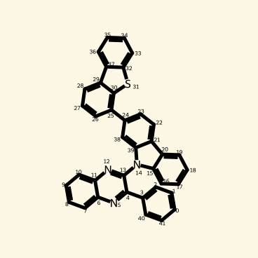 c1ccc(-c2nc3ccccc3nc2-n2c3ccccc3c3ccc(-c4cccc5c4sc4ccccc45)cc32)cc1